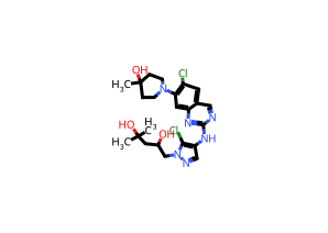 CC(C)(O)CC(O)Cn1ncc(Nc2ncc3cc(Cl)c(N4CCC(C)(O)CC4)cc3n2)c1Cl